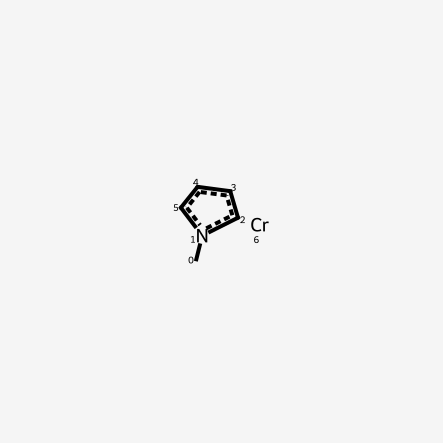 Cn1cccc1.[Cr]